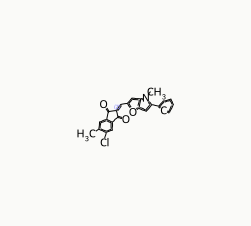 Cc1cc2c(cc1Cl)C(=O)/C(=C\c1cc3c(cc(-c4ccccc4)n3C)o1)C2=O